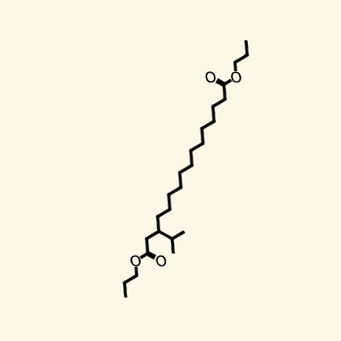 CCCOC(=O)CCCCCCCCCCCCC(CC(=O)OCCC)C(C)C